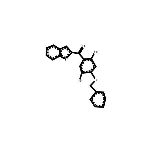 Cc1cc(OCc2ccccc2)c(Br)cc1C(=O)c1cc2ccccc2s1